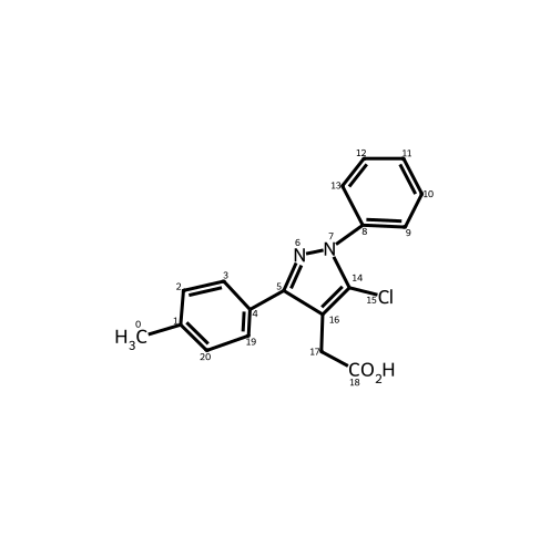 Cc1ccc(-c2nn(-c3ccccc3)c(Cl)c2CC(=O)O)cc1